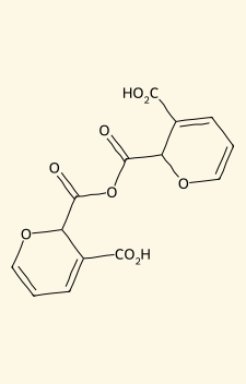 O=C(O)C1=CC=COC1C(=O)OC(=O)C1OC=CC=C1C(=O)O